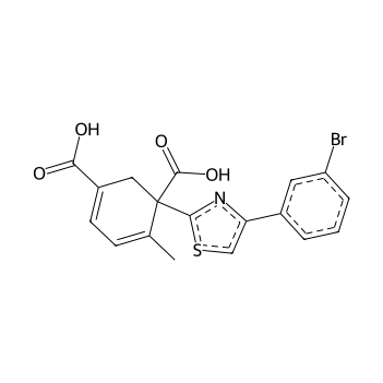 CC1=CC=C(C(=O)O)CC1(C(=O)O)c1nc(-c2cccc(Br)c2)cs1